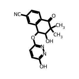 CC1(C)C(=O)c2ccc(C#N)cc2C(Oc2ccc(O)nn2)C1O